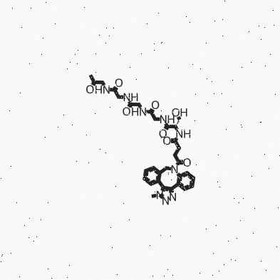 CC(=O)CNC(=O)CNC(=O)CNC(=O)CNC(=O)[C@H](CO)NC(=O)CCC(=O)N1Cc2ccccc2-c2c(nnn2C)-c2ccccc21